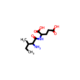 CCC(C)C(N)C(=O)NC(CCC(=O)O)C(=O)O